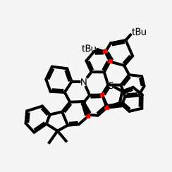 CC(C)(C)c1cc(-c2cccc3cccc(-c4ccccc4N(c4ccccc4-c4cccc5c4-c4ccccc4C5(C)C)c4cccc5c4sc4ccccc45)c23)cc(C(C)(C)C)c1